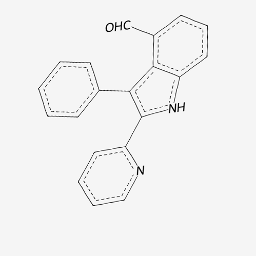 O=Cc1cccc2[nH]c(-c3ccccn3)c(-c3ccccc3)c12